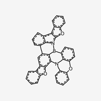 c1ccc2c(c1)Oc1cccc3c1N2c1c2c(cc4c1oc1ccccc14)-c1cccc4c5c6ccccc6oc5n(c14)B32